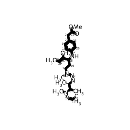 C/C=N\N(C)C(C)[C@H](C)/N=N\N(C)CCC(Nc1ccc(CC(=O)OC)cc1)/C(C)=C/C